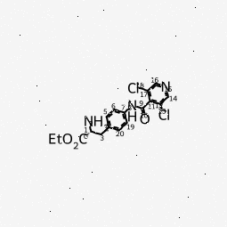 CCOC(=O)[C@H](N)Cc1ccc(NC(=O)c2c(Cl)cncc2Cl)cc1